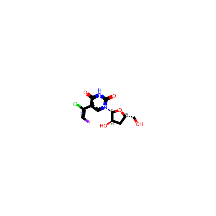 O=c1[nH]c(=O)n([C@@H]2O[C@H](CO)C[C@H]2O)cc1/C(Cl)=C\I